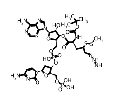 CSSC(CN=[N+]=N)C[C@H](NC(=O)OC(C)(C)C)C(=O)O[C@H]1[C@@H](O)[C@H](n2cnc3c(N)ncnc32)O[C@@H]1COP(=O)(O)O[C@H]1C[C@H](n2ccc(N)nc2=O)O[C@@H]1COP(=O)(O)O